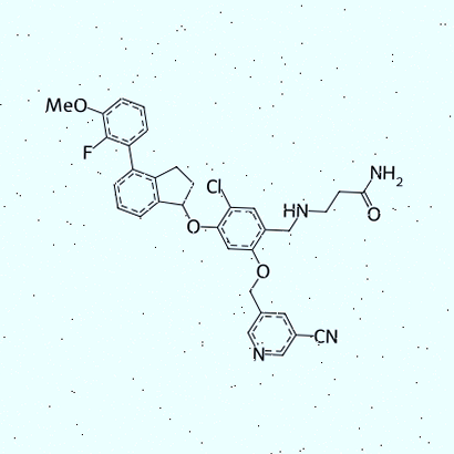 COc1cccc(-c2cccc3c2CCC3Oc2cc(OCc3cncc(C#N)c3)c(CNCCC(N)=O)cc2Cl)c1F